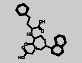 O=C(O)CN1CC(c2cccc3ccccc23)SCC(NC(CCc2ccccc2)C(=O)O)C1=O